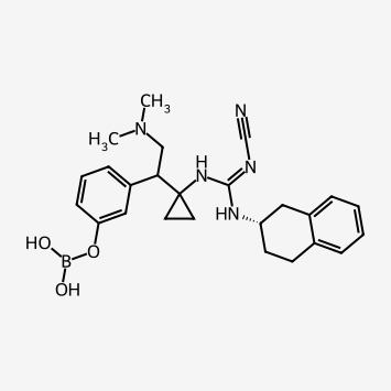 CN(C)CC(c1cccc(OB(O)O)c1)C1(NC(=NC#N)N[C@H]2CCc3ccccc3C2)CC1